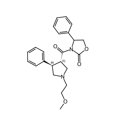 COCCN1C[C@@H](C(=O)N2C(=O)OCC2c2ccccc2)[C@H](c2ccccc2)C1